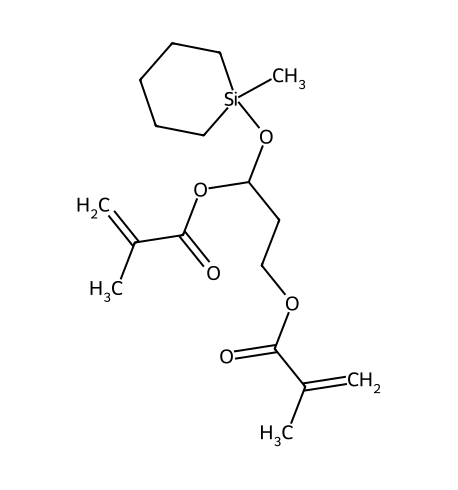 C=C(C)C(=O)OCCC(OC(=O)C(=C)C)O[Si]1(C)CCCCC1